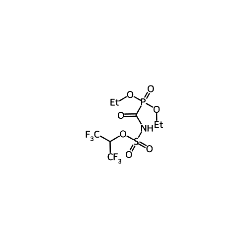 CCOP(=O)(OCC)C(=O)NS(=O)(=O)OC(C(F)(F)F)C(F)(F)F